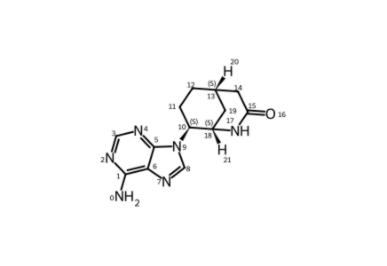 Nc1ncnc2c1ncn2[C@H]1CC[C@@H]2CC(=O)N[C@H]1C2